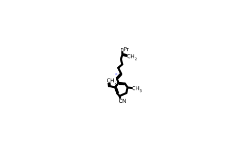 C=CC1=CC(C#N)CC(C)C=C1/C=C/CCCC(=C)CCC